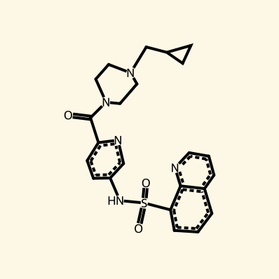 O=C(c1ccc(NS(=O)(=O)c2cccc3cccnc23)cn1)N1CCN(CC2CC2)CC1